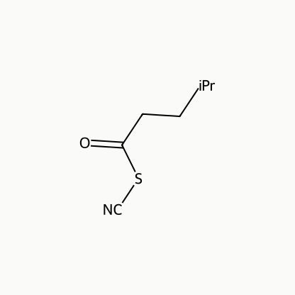 CC(C)CCC(=O)SC#N